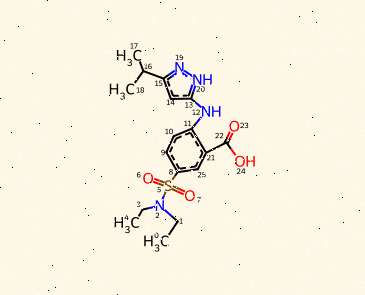 CCN(CC)S(=O)(=O)c1ccc(Nc2cc(C(C)C)n[nH]2)c(C(=O)O)c1